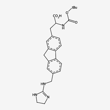 CC(C)(C)OC(=O)NC(Cc1ccc2c(c1)Cc1cc(CNC3=NCCN3)ccc1-2)C(=O)O